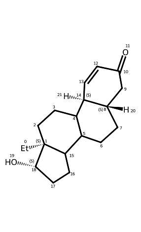 CC[C@]12CCC3C(CC[C@H]4CC(=O)C=C[C@H]34)C1CC[C@@H]2O